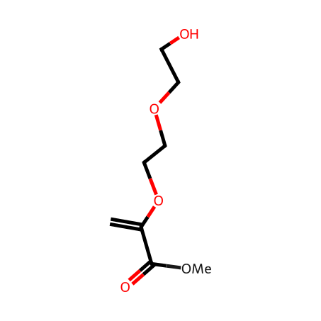 C=C(OCCOCCO)C(=O)OC